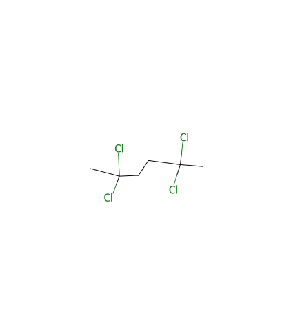 CC(Cl)(Cl)CCC(C)(Cl)Cl